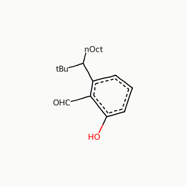 CCCCCCCCC(c1cccc(O)c1C=O)C(C)(C)C